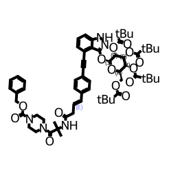 CC(C)(C)C(=O)OC[C@H]1O[C@@H](Oc2n[nH]c3cccc(C#Cc4ccc(/C=C/CC(=O)NC(C)(C)C(=O)N5CCN(C(=O)OCc6ccccc6)CC5)cc4)c23)[C@H](OC(=O)C(C)(C)C)[C@@H](OC(=O)C(C)(C)C)[C@@H]1OC(=O)C(C)(C)C